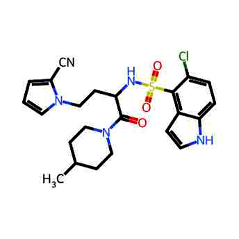 CC1CCN(C(=O)C(CCn2cccc2C#N)NS(=O)(=O)c2c(Cl)ccc3[nH]ccc23)CC1